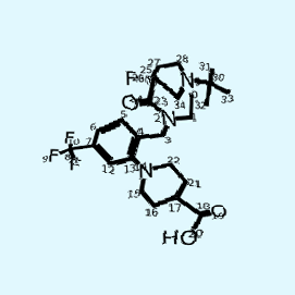 CCN(Cc1ccc(C(F)(F)F)cc1N1CCC(C(=O)O)CC1)C(=O)[C@@]1(F)CCN(C(C)(C)C)C1